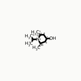 CC(C)N1[C@@H](C)CC(O)C[C@@H]1C